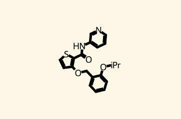 CC(C)Oc1ccccc1COc1ccsc1C(=O)Nc1cccnc1